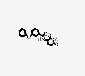 O=C1CCC(NC(=O)c2cccc(Oc3ccccc3)c2)C(=O)N1